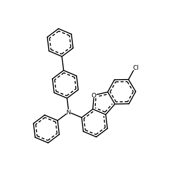 Clc1ccc2c(c1)oc1c(N(c3ccccc3)c3ccc(-c4ccccc4)cc3)cccc12